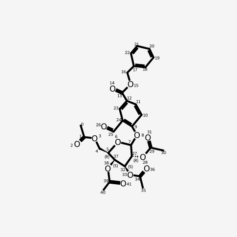 CC(=O)OC[C@H]1OC(Oc2ccc(C(=O)OCc3ccccc3)cc2C=O)[C@H](OC(C)=O)[C@@H](OC(C)=O)[C@H]1OC(C)=O